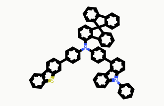 c1ccc(-n2c3ccccc3c3c(-c4ccc(N(c5ccc(-c6ccc7c(c6)sc6ccccc67)cc5)c5cccc6c5-c5ccccc5C65c6ccccc6-c6ccccc65)cc4)cccc32)cc1